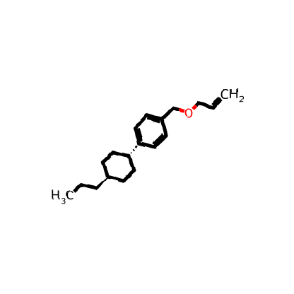 C=CCOCc1ccc([C@H]2CC[C@H](CCC)CC2)cc1